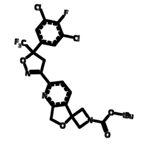 CC(C)(C)OC(=O)N1CC2(C1)OCc1nc(C3=NOC(c4cc(Cl)c(F)c(Cl)c4)(C(F)(F)F)C3)ccc12